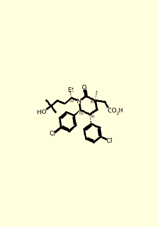 CC[C@@H](CCC(C)(C)O)N1C(=O)[C@@](C)(CC(=O)O)C[C@H](c2cccc(Cl)c2)[C@H]1c1ccc(Cl)cc1